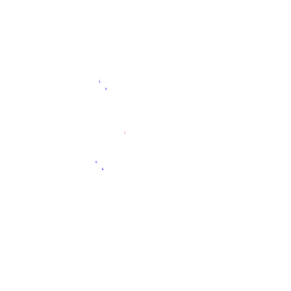 c1ccc(C(c2ncc(CN3CCCC3)o2)C2CCCCC2)cc1